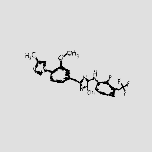 COc1cc(-c2nc(Nc3cccc(C(F)(F)F)c3F)n(C)n2)ccc1-n1cnc(C)c1